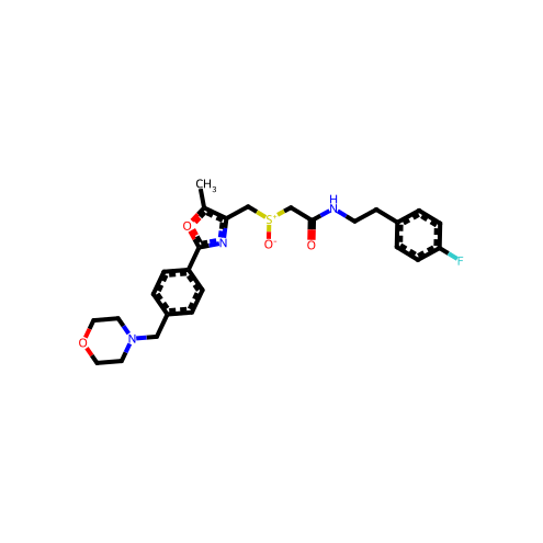 Cc1oc(-c2ccc(CN3CCOCC3)cc2)nc1C[S+]([O-])CC(=O)NCCc1ccc(F)cc1